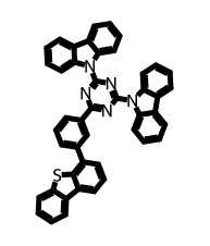 c1cc(-c2nc(-n3c4ccccc4c4ccccc43)nc(-n3c4ccccc4c4ccccc43)n2)cc(-c2cccc3c2sc2ccccc23)c1